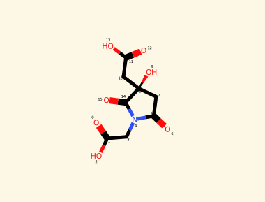 O=C(O)CN1C(=O)C[C@@](O)(CC(=O)O)C1=O